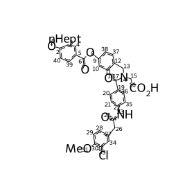 CCCCCCCOc1ccc(C(=O)Oc2ccc(CN(CC(=O)O)C(=O)c3ccc(NC(=O)Cc4ccc(OC)c(Cl)c4)cc3)cc2)cc1